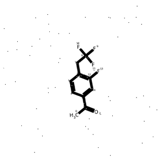 CC(=O)c1ccc(CC(F)(F)F)c(F)c1